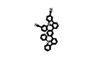 N#Cc1cccc(-n2c3ccc(C#N)cc3c3cccc(-c4cccc(-c5cccc6c7ccccc7n(-c7ccccc7)c56)c4)c32)c1